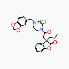 CCCC1(CC(=O)N2CCN(Cc3ccc4c(c3)OCO4)CC2)C(=O)Oc2ccccc21.Cl